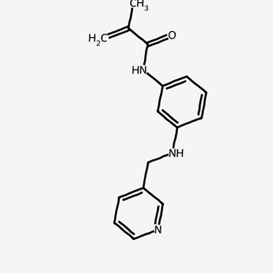 C=C(C)C(=O)Nc1cccc(NCc2cccnc2)c1